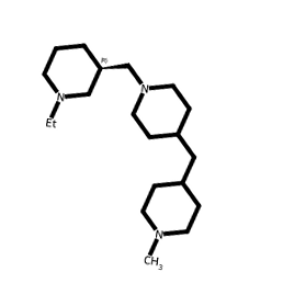 CCN1CCC[C@@H](CN2CCC(CC3CCN(C)CC3)CC2)C1